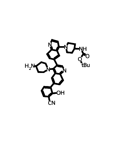 CC(C)(C)OC(=O)NC1CCN(c2ccnc3ccc(-c4cnc5ccc(-c6cccc(C#N)c6O)cc5c4N4CCC(N)CC4)cc23)CC1